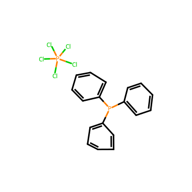 ClP(Cl)(Cl)(Cl)Cl.c1ccc(P(c2ccccc2)c2ccccc2)cc1